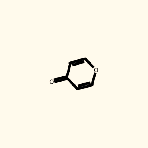 O=c1[c]cocc1